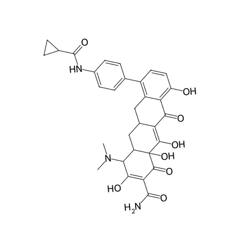 CN(C)C1C(O)=C(C(N)=O)C(=O)C2(O)C(O)=C3C(=O)c4c(O)ccc(-c5ccc(NC(=O)C6CC6)cc5)c4CC3CC12